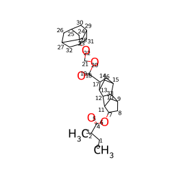 CCC(C)C(=O)OC1CC2CC1C1C3CC(CC3C(=O)OCOC34CC5CC(CC(C5)C3)C4)C21